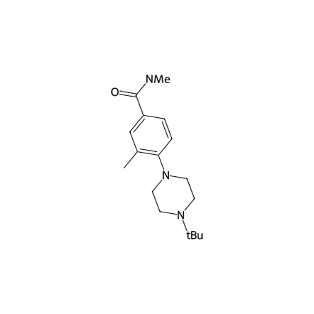 CNC(=O)c1ccc(N2CCN(C(C)(C)C)CC2)c(C)c1